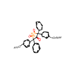 COc1ccc(C([PH2]=O)(C(=O)C([PH2]=O)(c2ccccc2)c2ccc(OC)cc2)c2ccccc2)cc1